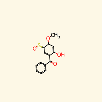 COC1C=C(O)C(C(=O)c2ccccc2)=CC1=S=O